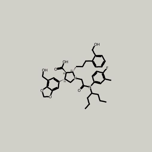 CCCC(CCC)N(C(=O)CN1C[C@H](c2cc(CO)c3c(c2)OCO3)[C@@H](C(=O)O)[C@@H]1CCCc1ccccc1CO)c1ccc(F)c(C)c1